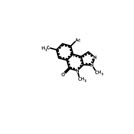 CC(=O)c1cc(C)cc2c(=O)n(C)c3c(cnn3C)c12